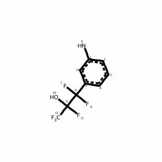 [NH]c1cccc(C(F)(F)C(O)(F)C(F)(F)F)c1